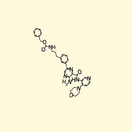 Nc1ncc(-c2cccc(CCCNC(=O)OCc3ccccc3)c2)nc1C(=O)Nc1cnccc1N1CCOCC1